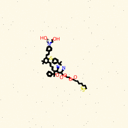 CC1(C)CC(/C=C/c2ccc(N(CCO)CCO)cc2)=C(Sc2ccc(C(C)(C)C)cc2)C(/C=C/C=C/C2=C(C#N)C(=C(\C#N)C(=O)OCCOC(=O)CCCCC3CCSS3)/OC2(C)c2ccccc2)C1